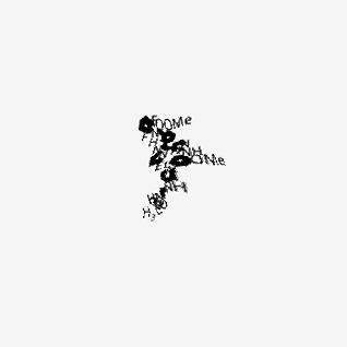 CCc1cc(Nc2nccc(-c3c(-c4ccc(OC)c(C(=O)Nc5c(F)cccc5F)c4)nc4ccccn34)n2)c(OC)cc1N1CCC(NCCNS(C)(=O)=O)CC1